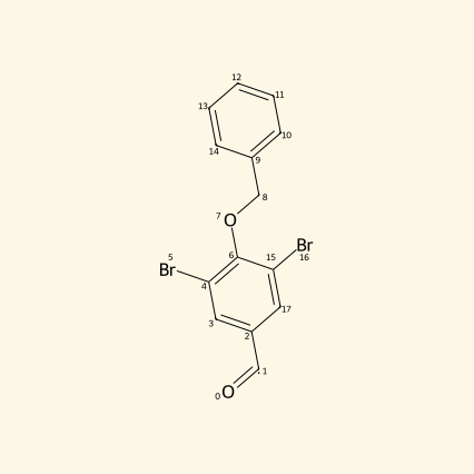 O=[C]c1cc(Br)c(OCc2ccccc2)c(Br)c1